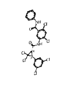 O=C(Nc1ccccc1)c1cc(NC(=O)[C@@H]2[C@@H](c3cc(Cl)cc(Cl)c3)C2(Cl)Cl)c(Cl)cc1Cl